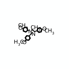 COc1ccc(C2=NC(c3ccc(OC)cc3)N(c3ccc(OC)cc3)C2C)cc1